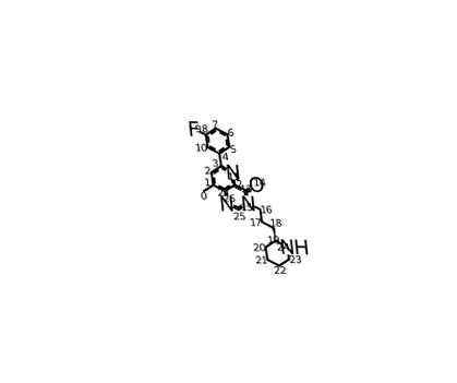 Cc1cc(-c2cccc(F)c2)nc2c(=O)n(CCC[C@@H]3CCCCN3)cnc12